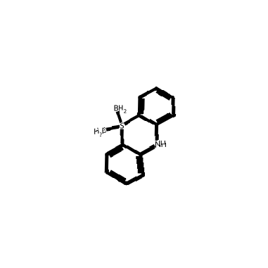 BS1(B)c2ccccc2Nc2ccccc21